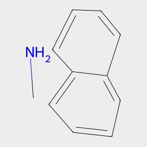 CN.c1ccc2ccccc2c1